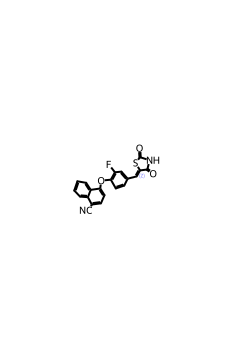 N#Cc1ccc(Oc2ccc(/C=C3\SC(=O)NC3=O)cc2F)c2ccccc12